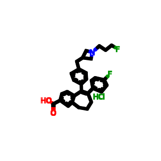 Cl.O=C(O)c1ccc2c(c1)CCCC(c1ccc(F)cc1)=C2c1ccc(CC2CN(CCCF)C2)cc1